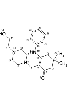 CC1(C)CC(=O)C(CN2CCN(CCO)CC2)=C(Nc2ccccc2)C1